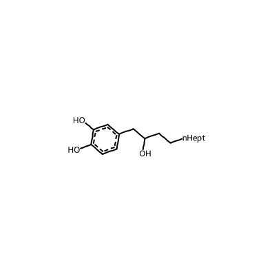 CCCCCCCCCC(O)Cc1ccc(O)c(O)c1